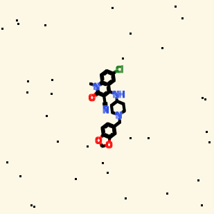 Cn1c(=O)c(C#N)c(NC2CCN(Cc3ccc4c(c3)OCO4)CC2)c2cc(Cl)ccc21